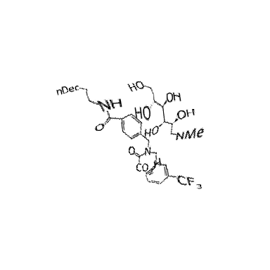 CCCCCCCCCCCCNC(=O)c1ccc(CN(Cc2cccc(C(F)(F)F)c2)C(=O)C(=O)O)cc1.CNC[C@H](O)[C@@H](O)[C@H](O)[C@H](O)CO